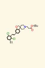 CCc1ccc(Cl)c(C=Cc2ccc3c(c2)OCC32CCN(CCC(=O)OC(C)(C)C)CC2)c1Cl